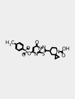 Cc1ccc(S(=O)(=O)Oc2cc(=O)n3nc(C4CCN(C(=O)O)C5(CC5)C4)sc3n2)cc1